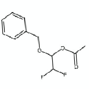 CC(=O)OC(OCc1ccccc1)C(F)F